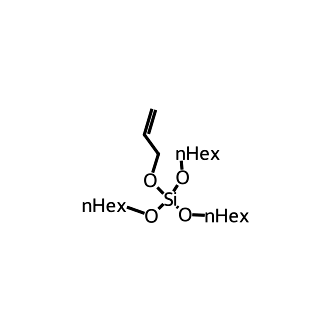 C=CCO[Si](OCCCCCC)(OCCCCCC)OCCCCCC